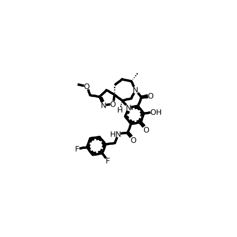 COCC1=NO[C@@]2(CC[C@H](C)N3C[C@H]2n2cc(C(=O)NCc4ccc(F)cc4F)c(=O)c(O)c2C3=O)C1